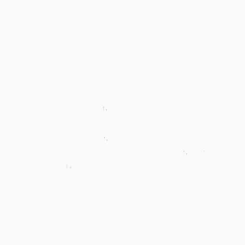 S=C=NCCCCCN(Cc1ccc(Cl)c(Cl)c1)c1ccc(Br)cn1